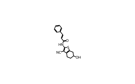 N#Cc1c(NC(=O)/C=C/c2ccccc2)sc2c1CCC(O)C2